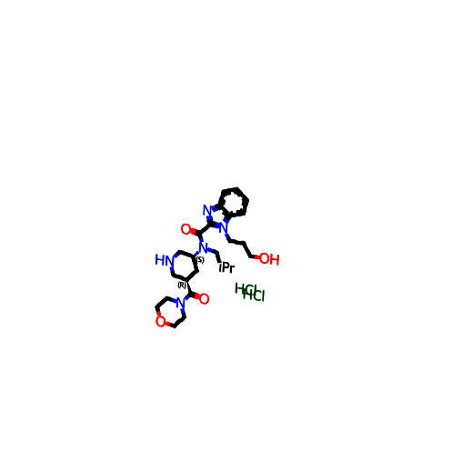 CC(C)CN(C(=O)c1nc2ccccc2n1CCCO)[C@@H]1CNC[C@H](C(=O)N2CCOCC2)C1.Cl.Cl